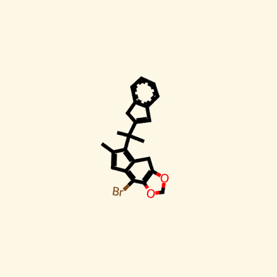 CC1=CC2=C(Br)C3=C(CC2=C1C(C)(C)C1=Cc2ccccc2C1)OCO3